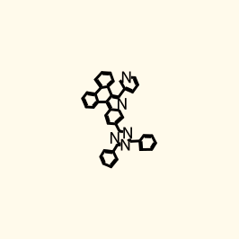 c1ccc(-c2nc(-c3ccccc3)nc(-c3ccc4c(c3)nc(-c3cccnc3)c3c5ccccc5c5ccccc5c43)n2)cc1